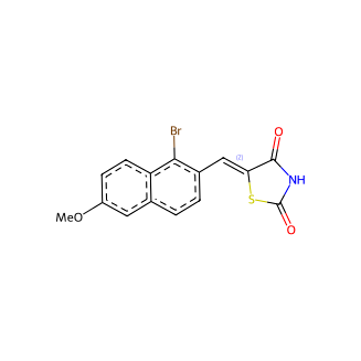 COc1ccc2c(Br)c(/C=C3\SC(=O)NC3=O)ccc2c1